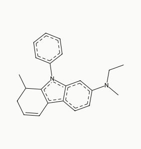 CCN(C)c1ccc2c3c(n(-c4ccccc4)c2c1)C(C)CC=C3